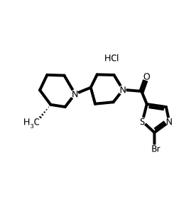 C[C@@H]1CCCN(C2CCN(C(=O)c3cnc(Br)s3)CC2)C1.Cl